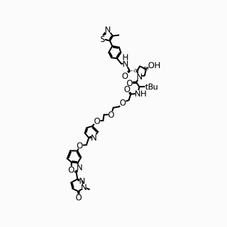 Cc1ncsc1-c1ccc(CNC(=O)[C@@H]2C[C@@H](O)CN2C(=O)C(NC(=O)COCCOCCOc2ccc(COc3ccc4oc(-c5ccc(=O)n(C)n5)nc4c3)nc2)C(C)(C)C)cc1